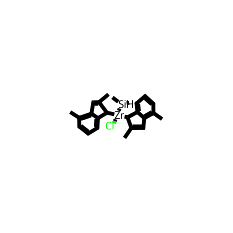 CC1=Cc2c(C)cccc2[CH]1[Zr]([Cl])([CH]1C(C)=Cc2c(C)cccc21)[SiH](C)C